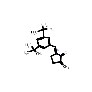 C=C1CC/C(=C\c2cc(C(C)(C)C)cc(C(C)(C)C)c2)C1=O